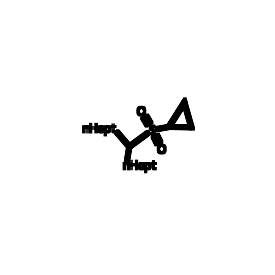 CCCCCCCC(CCCCCCC)S(=O)(=O)C1CC1